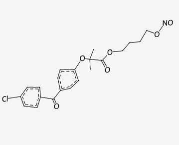 CC(C)(Oc1ccc(C(=O)c2ccc(Cl)cc2)cc1)C(=O)OCCCCON=O